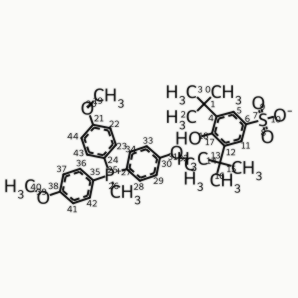 CC(C)(C)c1cc(S(=O)(=O)[O-])cc(C(C)(C)C)c1O.COc1ccc([P+](C)(c2ccc(OC)cc2)c2ccc(OC)cc2)cc1